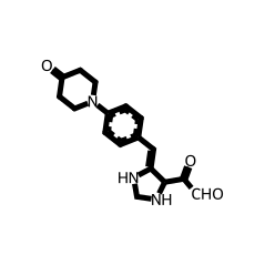 O=CC(=O)C1NCNC1=Cc1ccc(N2CCC(=O)CC2)cc1